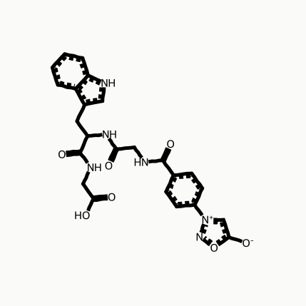 O=C(O)CNC(=O)C(Cc1c[nH]c2ccccc12)NC(=O)CNC(=O)c1ccc(-[n+]2cc([O-])on2)cc1